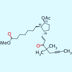 CC#CCC(C)(C)C(=O)C=C[C@H]1CC[C@H](OC(C)=O)[C@@H]1CCCCCCC(=O)OC